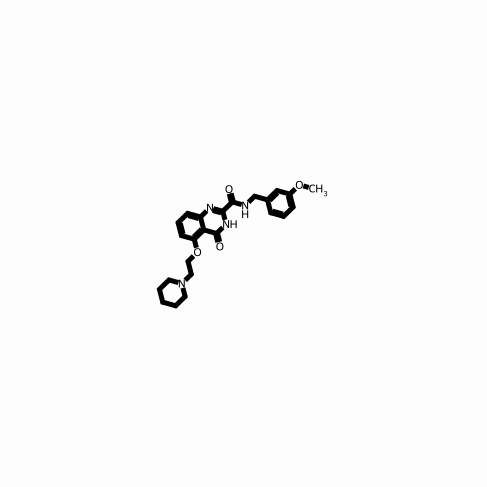 COc1cccc(CNC(=O)c2nc3cccc(OCCN4CCCCC4)c3c(=O)[nH]2)c1